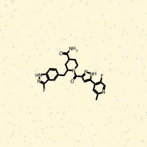 Cc1cc(-c2cc(C(=O)N3CCC(C(N)=O)CC3Cc3ccc4[nH]nc(F)c4c3)n[nH]2)c(F)cn1